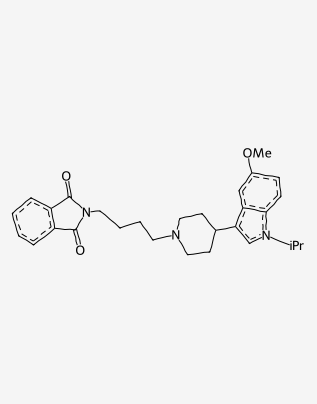 COc1ccc2c(c1)c(C1CCN(CCCCN3C(=O)c4ccccc4C3=O)CC1)cn2C(C)C